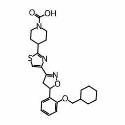 O=C(O)N1CCC(c2nc(C3=NOC(c4ccccc4OCC4CCCCC4)C3)cs2)CC1